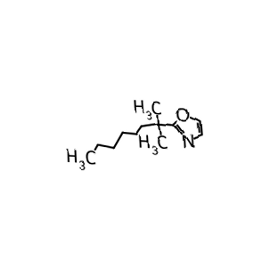 CCCCCCC(C)(C)c1ncco1